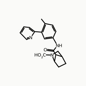 Cc1ccc(NC(=O)C2C3CCC2N(C(=O)O)C3)cc1-c1ccccn1